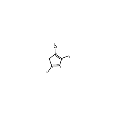 CC1=CC(C)=[C]([Zr])C1